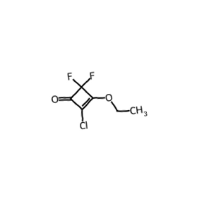 CCOC1=C(Cl)C(=O)C1(F)F